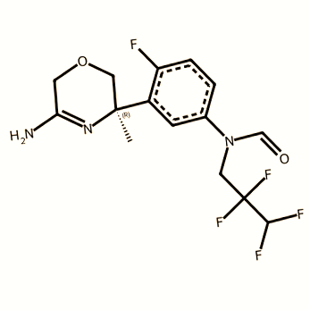 C[C@@]1(c2cc(N(C=O)CC(F)(F)C(F)F)ccc2F)COCC(N)=N1